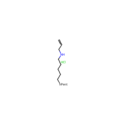 C=CCNCCCCCCCCCC.Cl